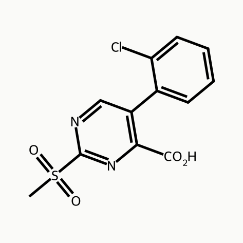 CS(=O)(=O)c1ncc(-c2ccccc2Cl)c(C(=O)O)n1